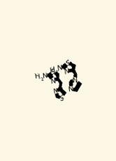 NC1=NC(Cc2cscn2)CS1.NC1=NC(Cn2ccnc2)CS1